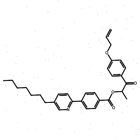 C=CCOc1ccc(C(=O)C(C)OC(=O)c2ccc(-c3ccc(CCCCCCC)cn3)cc2)cc1